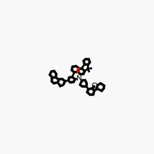 CC1(C)c2ccccc2-c2ccc(N(c3ccc(-c4cccc5c4oc4ccccc45)cc3)c3ccc(-c4ccc5ccc6ccccc6c5c4)cc3-c3ccccc3)cc21